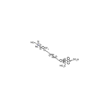 C#CCC/C(O)=C(\C#N)C(=O)Nc1ccc(C(F)(F)F)c(OCCCCCC(=O)NCCNC(=O)CCCc2ccc(S(=O)(=O)N(CCCS(=O)(=O)O)C(=O)c3c4ccccc4[n+](CCCS(=O)(=O)O)c4ccccc34)cc2)c1